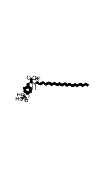 CCC=CCC=CCC=CCC=CCC=CCCCC(=O)N[C@@H](Cc1ccc(OP(=O)(O)O)cc1)C(=O)O